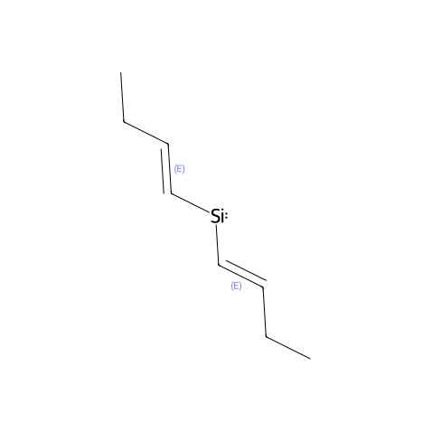 CC/C=C/[Si]/C=C/CC